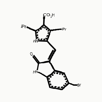 CC(C)c1[nH]c(/C=C2\C(=O)Nc3ccc(Br)cc32)c(C(C)C)c1C(=O)O